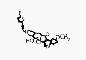 COc1ccc2ncc(Cl)c(C(=O)CCC3CCN(CC#Cc4ccc(F)s4)CC3C(=O)O)c2c1